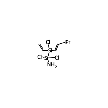 C=C[Si](Cl)(C=CC(C)C)[Si](N)(Cl)Cl